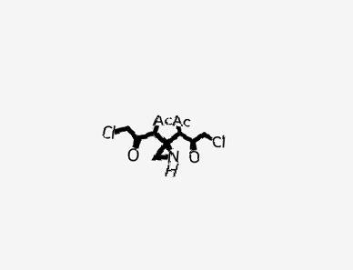 CC(=O)C(C(=O)CCl)C1(C(C(C)=O)C(=O)CCl)CN1